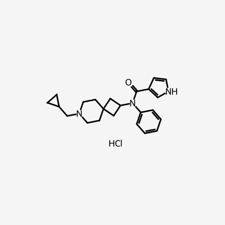 Cl.O=C(c1cc[nH]c1)N(c1ccccc1)C1CC2(CCN(CC3CC3)CC2)C1